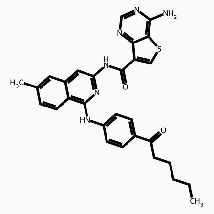 CCCCCC(=O)c1ccc(Nc2nc(NC(=O)c3csc4c(N)ncnc34)cc3cc(C)ccc23)cc1